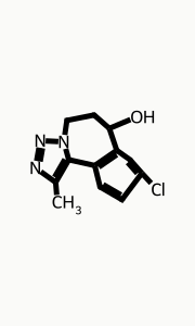 Cc1nnn2c1-c1ccc(Cl)cc1C(O)CC2